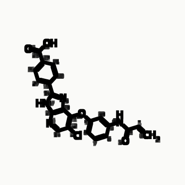 C=CC(=O)Nc1cccc(Oc2c(Cl)cnc3[nH]c(-c4ccc(C(=O)O)cc4)nc23)c1